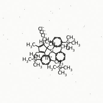 CC1=C(C)C(C)([Si](c2cc([Si](C)(C)C)ccc2C)(c2cc([Si](C)(C)C)ccc2C)c2cc([Si](C)(C)C)ccc2C)[C]([Ti+3])=C1C.[Cl-].[Cl-].[Cl-]